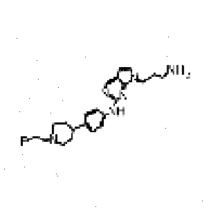 NCCCn1ccc2cnc(Nc3ccc(C4CCN(CCF)CC4)cc3)nc21